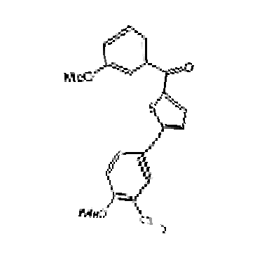 COc1cccc(C(=O)c2ccc(-c3ccc(OC)c(C(F)(F)F)c3)s2)c1